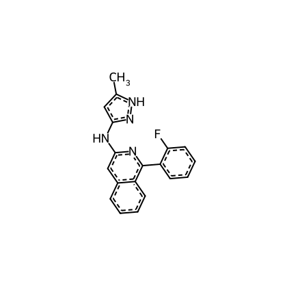 Cc1cc(Nc2cc3ccccc3c(-c3ccccc3F)n2)n[nH]1